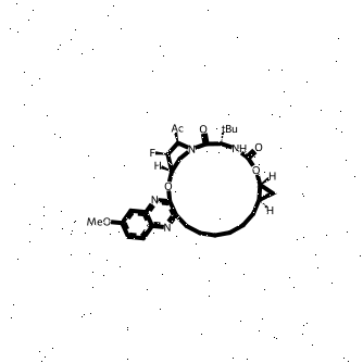 COc1ccc2nc3c(nc2c1)O[C@H]1CN(C(=O)[C@H](C(C)(C)C)NC(=O)O[C@@H]2C[C@H]2CCCCCC3)[C@H](C(C)=O)[C@@H]1F